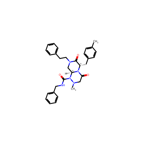 Cc1ccc(C[C@H]2C(=O)N(CCc3ccccc3)C[C@H]3N2C(=O)CN(C)N3C(=O)NCc2ccccc2)cc1